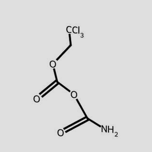 NC(=O)OC(=O)OCC(Cl)(Cl)Cl